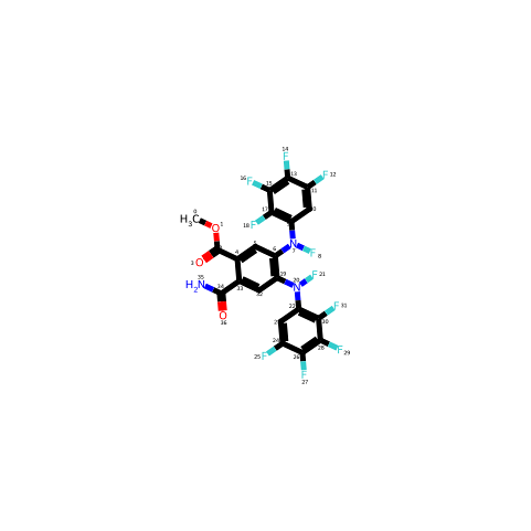 COC(=O)c1cc(N(F)c2cc(F)c(F)c(F)c2F)c(N(F)c2cc(F)c(F)c(F)c2F)cc1C(N)=O